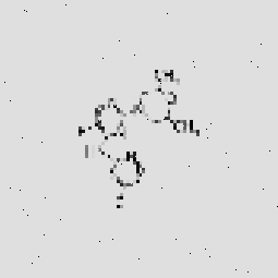 C[C@H]1CN(c2ncc(F)c(Nc3cc(Cl)cnn3)n2)C[C@H](C)O1